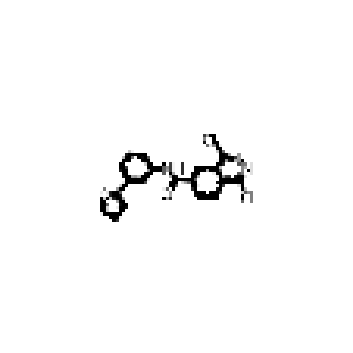 O=C(Nc1cccc(-c2ccco2)c1)c1ccc2c(Cl)nnc(Cl)c2c1